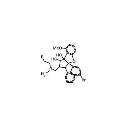 COc1cncc2c1C1(O)C(O)C(CN(C)CCF)C(c3ccccc3)C1(c1ccc(Br)cc1)O2